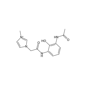 CC(=O)Nc1cccc(NC(=O)Cn2cc[n+](C)c2)c1O